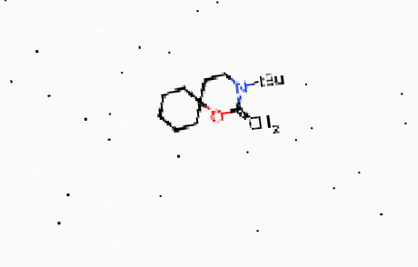 C=C1OC2(CCCCC2)CCN1C(C)(C)C